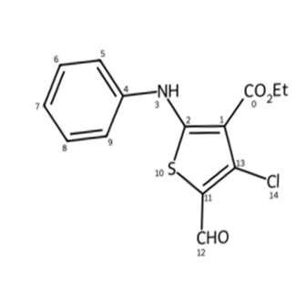 CCOC(=O)c1c(Nc2ccccc2)sc(C=O)c1Cl